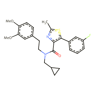 COc1ccc(CCN(CC2CC2)C(=O)c2nc(C)sc2-c2cccc(F)c2)cc1OC